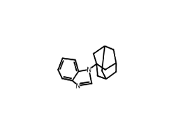 c1ccc2c(c1)ncn2C12CC3CC(CC(C3)C1)C2